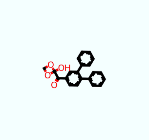 O=C(c1ccc(-c2ccccc2)c(-c2ccccc2)c1)C1(O)OCO1